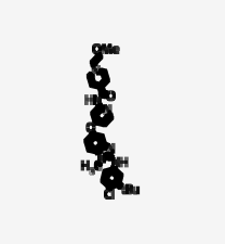 COCCN1CCC(C(=O)Nc2cc(Oc3ccc4c(c3)nc(Nc3ccc(Cl)c(C(C)(C)C)c3)n4C)ccn2)CC1